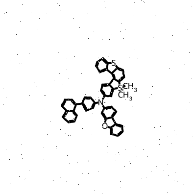 C[Si]1(C)c2cc(N(c3ccc(-c4cccc5ccccc45)cc3)c3ccc4c(c3)oc3ccccc34)ccc2-c2c1ccc1sc3ccccc3c21